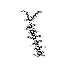 CCCCCCCCCCCCC/C=C/[C@@H](O)[C@H](CO[C@@H]1OC(CO)[C@@H](O[C@@H]2OC(CO)[C@H](O[C@@H]3OC(CO)[C@H](O)[C@H](O[C@@H]4OC(CO)[C@H](O)[C@H](O[C@@H]5OC(CO)[C@@H](O)[C@H](O[C@H]6OC(C)[C@@H](O)C(O)[C@@H]6O)C5NC(C)=O)C4O)C3NC(C)=O)[C@H](O)C2O)[C@H](O)C1O)NC(=O)CCCCCCCCCCCCCCC